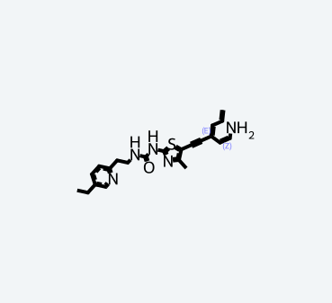 C=C/C=C(C#Cc1sc(NC(=O)NCCc2ccc(CC)cn2)nc1C)\C=C/N